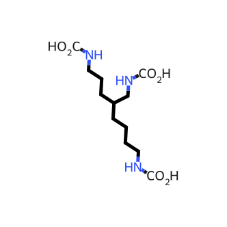 O=C(O)NCCCCC(CCCNC(=O)O)CNC(=O)O